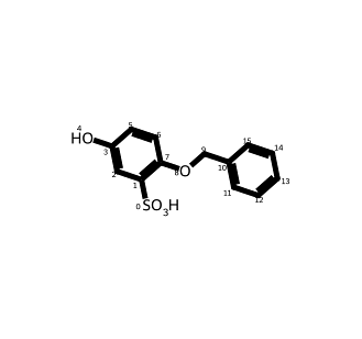 O=S(=O)(O)c1cc(O)ccc1OCc1ccccc1